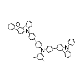 Cc1cc(C)cc(N(c2ccc(-c3ccc(-n4c5ccccc5c5c6oc7ccccc7c6ccc54)cc3)cc2)c2ccc(-c3ccc4c(c3)c3ccccc3n4-c3ccccc3)cc2)c1